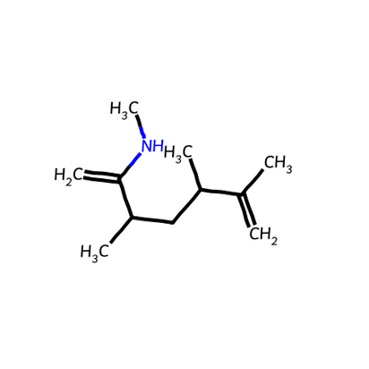 C=C(C)C(C)CC(C)C(=C)NC